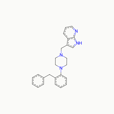 c1ccc(Cc2ccccc2N2CCN(Cc3c[nH]c4ncccc34)CC2)cc1